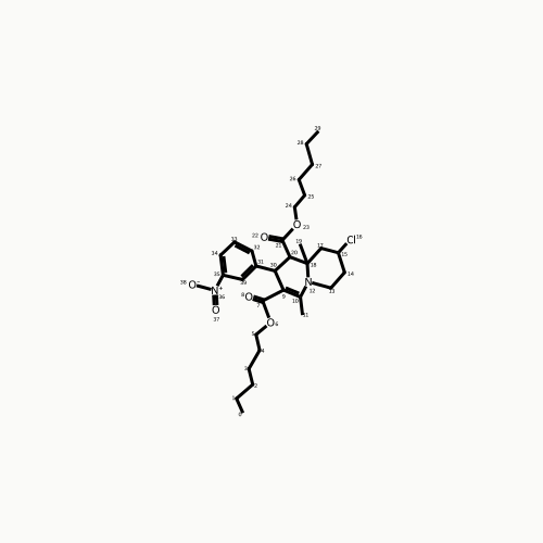 CCCCCCOC(=O)C1=C(C)N2CCC(Cl)CC2(C)C(C(=O)OCCCCCC)C1c1cccc([N+](=O)[O-])c1